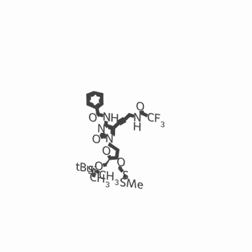 CSSCO[C@@H]1C[C@H](n2cc(C#CCNC(=O)C(F)(F)F)c(NC(=O)c3ccccc3)nc2=O)O[C@@H]1CO[Si](C)(C)C(C)(C)C